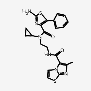 Cc1nc2sccn2c1C(=O)NCCN(C(=O)c1nc(N)sc1-c1ccccc1)C1CC1